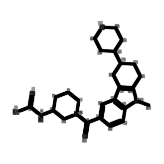 CCC(=O)NC1CCCN(C(=O)c2ccc3c(c2)c2c(n3C)CCC(C3CCOCC3)C2)C1